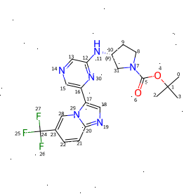 CC(C)(C)OC(=O)N1CC[C@@H](Nc2cncc(-c3cnc4ccc(C(F)(F)F)cn34)n2)C1